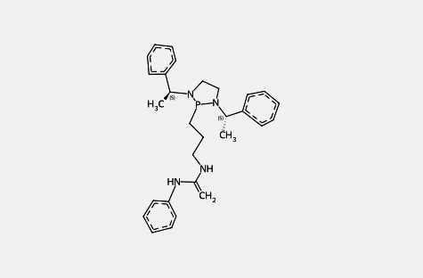 C=C(NCCCP1N([C@@H](C)c2ccccc2)CCN1[C@@H](C)c1ccccc1)Nc1ccccc1